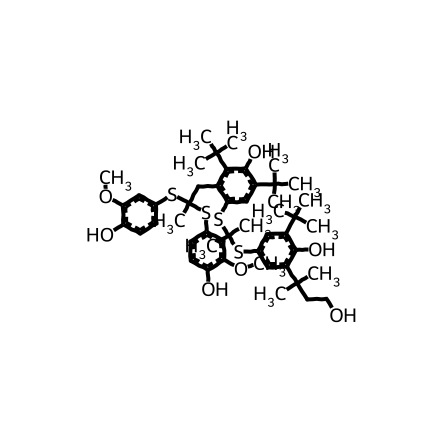 COc1cc(SC(C)(Cc2c(SC(C)(C)Sc3cc(C(C)(C)C)c(O)c(C(C)(C)CCO)c3)cc(C(C)(C)C)c(O)c2C(C)(C)C)Sc2ccc(O)c(OC)c2)ccc1O